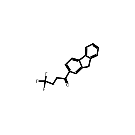 O=C(C[CH]C(F)(F)F)c1ccc2c(c1)Cc1ccccc1-2